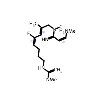 C=C(NC)NCCC/C=C(F)\C=C(/C)CN(C)C(=N)/C=C\NC